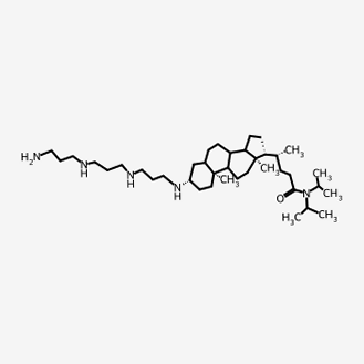 CC(C)N(C(=O)CC[C@@H](C)[C@H]1CCC2C3CCC4C[C@@H](NCCCNCCCNCCCN)CC[C@]4(C)C3CC[C@@]21C)C(C)C